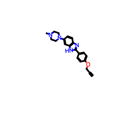 C#CCOc1ccc(-c2nc3ccc(N4CCN(C)CC4)cc3[nH]2)cc1